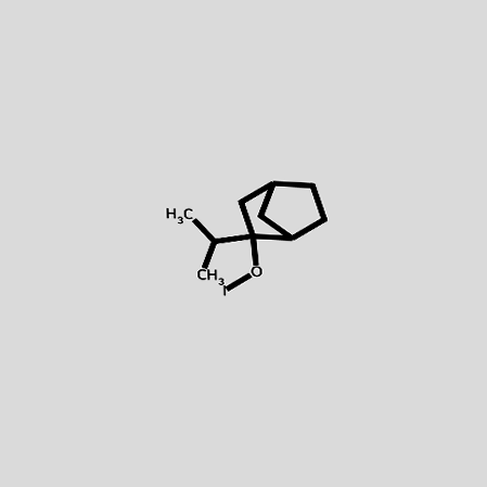 CC(C)C1(OI)CC2CCC1C2